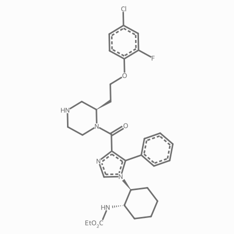 CCOC(=O)N[C@H]1CCCC[C@@H]1n1cnc(C(=O)N2CCNC[C@H]2CCOc2ccc(Cl)cc2F)c1-c1ccccc1